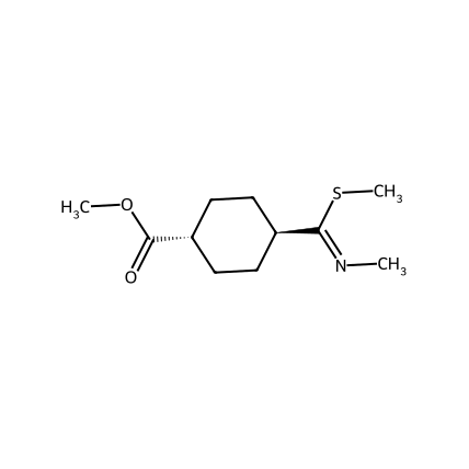 CN=C(SC)[C@H]1CC[C@H](C(=O)OC)CC1